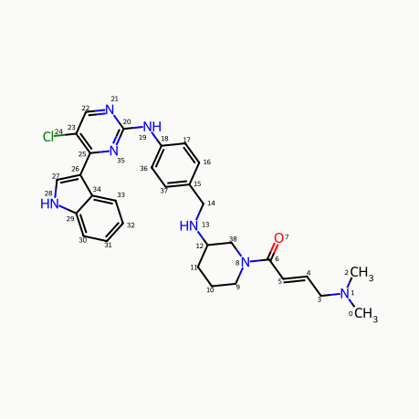 CN(C)CC=CC(=O)N1CCCC(NCc2ccc(Nc3ncc(Cl)c(-c4c[nH]c5ccccc45)n3)cc2)C1